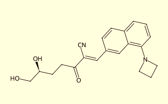 N#C/C(=C\c1ccc2cccc(N3CCC3)c2c1)C(=O)CC[C@H](O)CO